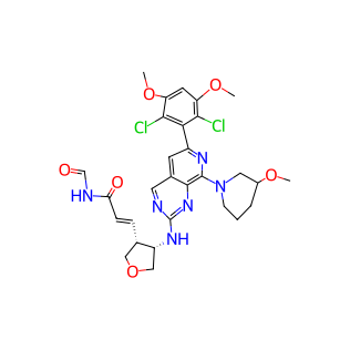 COc1cc(OC)c(Cl)c(-c2cc3cnc(N[C@@H]4COC[C@@H]4C=CC(=O)NC=O)nc3c(N3CCCC(OC)C3)n2)c1Cl